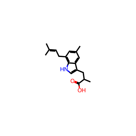 CC(C)=CCc1cc(C)cc2c(CC(C)C(=O)O)c[nH]c12